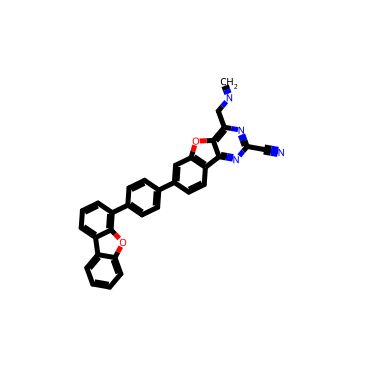 C=NCc1nc(C#N)nc2c1oc1cc(-c3ccc(-c4cccc5c4oc4ccccc45)cc3)ccc12